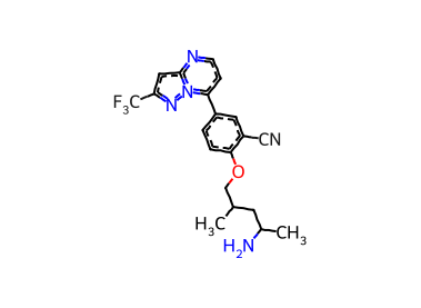 CC(N)CC(C)COc1ccc(-c2ccnc3cc(C(F)(F)F)nn23)cc1C#N